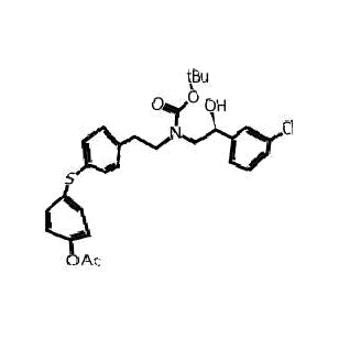 CC(=O)Oc1ccc(Sc2ccc(CCN(C[C@@H](O)c3cccc(Cl)c3)C(=O)OC(C)(C)C)cc2)cc1